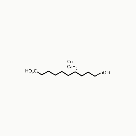 CCCCCCCCCCCCCCCCCC(=O)O.[CaH2].[Cu]